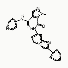 Cn1ncc(C(=O)Nc2ccncc2)c1C(=O)Nc1ccn2cc(-c3ccccc3)nc2c1